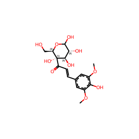 COc1cc(C=CC(=O)[C@]2(O)[C@H](O)[C@@H](O)C(O)O[C@@H]2CO)cc(OC)c1O